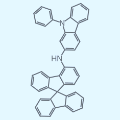 c1ccc(-n2c3ccccc3c3ccc(Nc4cccc5c4-c4ccccc4C54c5ccccc5-c5ccccc54)cc32)cc1